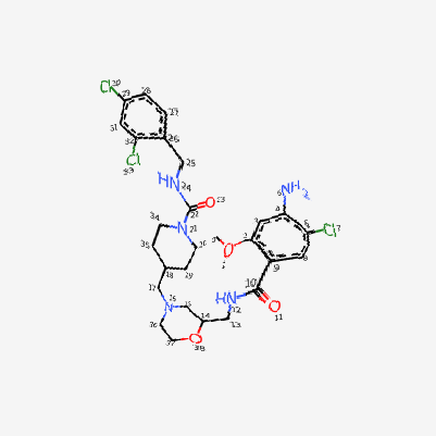 COc1cc(N)c(Cl)cc1C(=O)NCC1CN(CC2CCN(C(=O)NCc3ccc(Cl)cc3Cl)CC2)CCO1